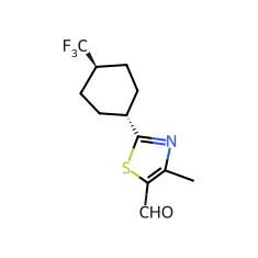 Cc1nc([C@H]2CC[C@H](C(F)(F)F)CC2)sc1C=O